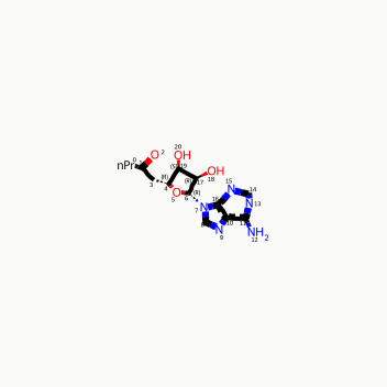 CCCC(=O)C[C@H]1O[C@@H](n2cnc3c(N)ncnc32)[C@H](O)[C@@H]1O